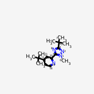 Cn1nc(C(C)(C)C)nc1-c1cc(C(C)(C)C)ccn1